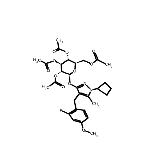 COc1ccc(Cc2c(O[C@@H]3O[C@H](COC(C)=O)[C@@H](OC(C)=O)[C@H](OC(C)=O)[C@H]3OC(C)=O)nn(C3CCC3)c2C)c(F)c1